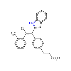 CCOC(=O)/C=C/c1ccc(/C(=C(/CC)c2ccccc2C(F)(F)F)c2cc3ccccc3[nH]2)cc1